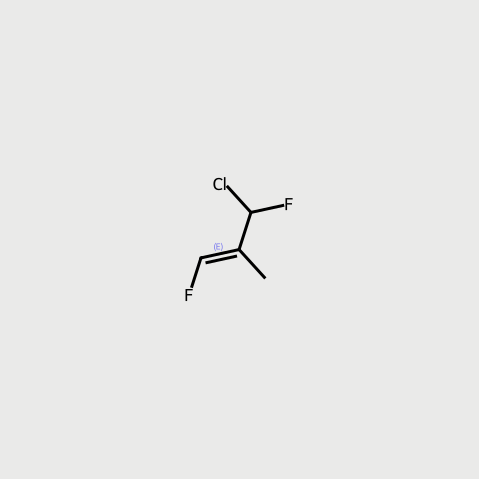 C/C(=C\F)C(F)Cl